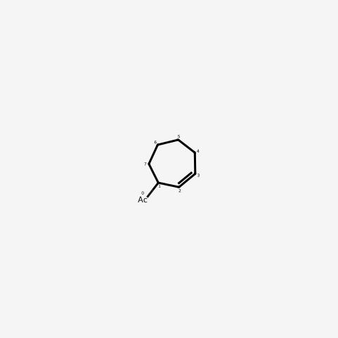 CC(=O)C1C=CCCCC1